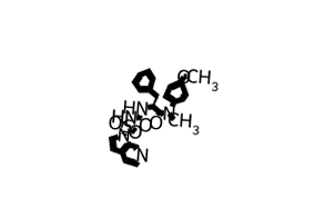 COc1ccc(N(C)C(=O)[C@H](Cc2ccccc2)NC(=O)NS(=O)(=O)n2ccc3ccncc32)cc1